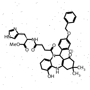 COC(=O)[C@@H](Cc1c[nH]cn1)NC(=O)CCC(=O)N1C2=CCCC(O)=C2NC2=C(C(=O)CC(C)(C)C2)C1c1ccc(OCc2ccccc2)cc1Cl